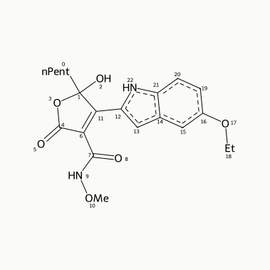 CCCCCC1(O)OC(=O)C(C(=O)NOC)=C1c1cc2cc(OCC)ccc2[nH]1